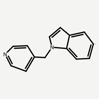 [c]1ccc2c(c1)ccn2Cc1ccncc1